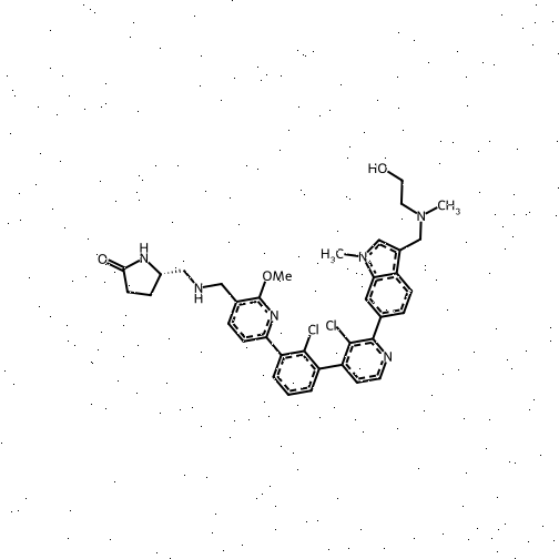 COc1nc(-c2cccc(-c3ccnc(-c4ccc5c(CN(C)CCO)cn(C)c5c4)c3Cl)c2Cl)ccc1CNC[C@@H]1CCC(=O)N1